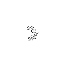 [O-2].[O-2].[O-2].[Sn+4].[Sr+2]